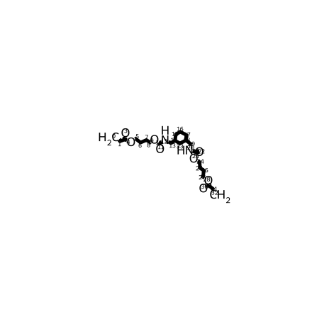 C=CC(=O)OCCCCOC(=O)NCC1CCCC(CNC(=O)OCCCCOC(=O)C=C)C1